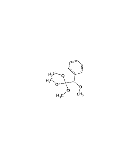 COC(c1ccccc1)C(OC)(OC)O[SiH3]